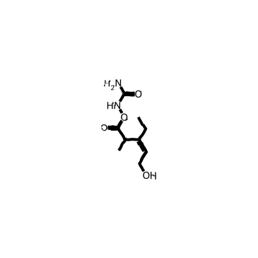 CCC(=CCO)C(C)C(=O)ONC(N)=O